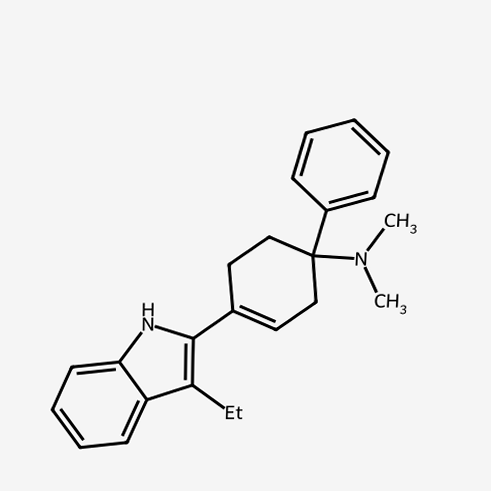 [CH2]Cc1c(C2=CCC(c3ccccc3)(N(C)C)CC2)[nH]c2ccccc12